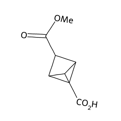 COC(=O)C1C2CC1C2C(=O)O